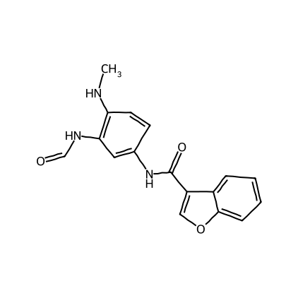 CNc1ccc(NC(=O)c2coc3ccccc23)cc1NC=O